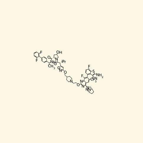 CC(C)[C@@H](C(=O)N1C[C@H](O)C[C@H]1C(=O)N[C@@H](C)c1ccc(-c2c(F)cccc2F)cc1)c1cc(OCC2CCN(CCOc3nc(N4CC5CCC(C4)N5)c4cc(C(F)(F)F)c(-c5ccc(F)c6sc(N)c(C#N)c56)c(F)c4n3)CC2)no1